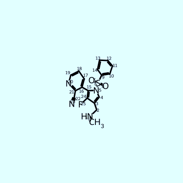 CNCc1cn(S(=O)(=O)c2ccccc2)c(-c2cccnc2C#N)c1F